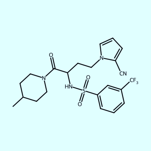 CC1CCN(C(=O)C(CCn2cccc2C#N)NS(=O)(=O)c2cccc(C(F)(F)F)c2)CC1